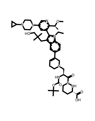 CCn1c(-c2cc(N3CCN(C4CC4)CC3)cnc2[C@H](C)OC)c(CC(C)(C)CO)c2cc(C3=CCCN(C[C@H](NC(=O)OC(C)(C)C)C(=O)N4CCC[C@@H](C(=O)O)N4)C3)ccc21